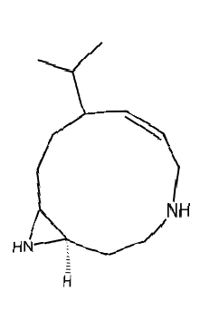 CC(C)C1/C=C\CNCC[C@H]2NC2CC1